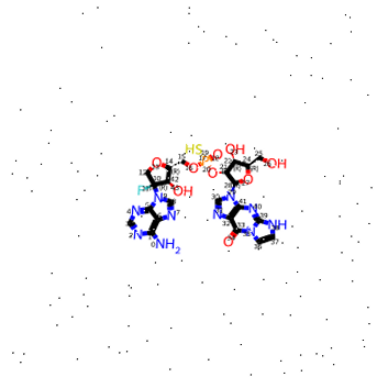 Nc1ncnc2c1ncn2[C@]1(F)CO[C@H](COP(=O)(S)O[C@@H]2[C@H](O)[C@@H](CO)O[C@H]2n2cnc3c(=O)n4cc[nH]c4nc32)[C@H]1O